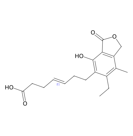 CCc1c(C)c2c(c(O)c1CC/C=C/CCC(=O)O)C(=O)OC2